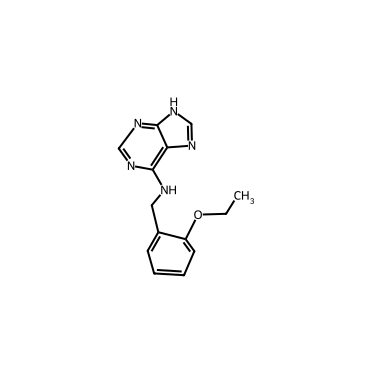 CCOc1ccccc1CNc1ncnc2[nH]cnc12